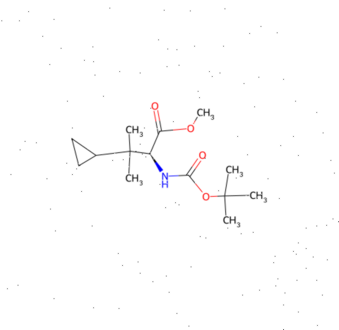 COC(=O)[C@@H](NC(=O)OC(C)(C)C)C(C)(C)C1CC1